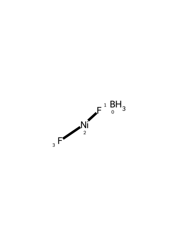 B.[F][Ni][F]